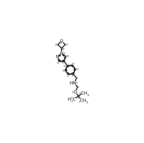 CC(C)(C)OCNCc1ccc(-c2cnn(C3COC3)c2)cc1